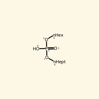 CCCCCCCOP(=O)(O)OCCCCCC